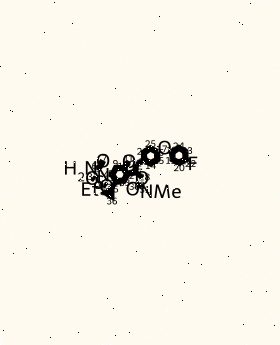 CCS(=O)(=O)N(C(N)=O)c1cc2oc(-c3ccc(Oc4ccc(F)cc4)cc3)c(OC(=O)NC)c2cc1C1CC1